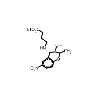 CCOC(=O)CCCN[C@H]1c2cc([N+](=O)[O-])ccc2OC(C)[C@@H]1O